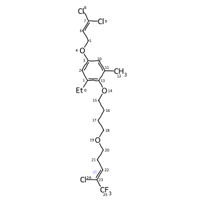 CCc1cc(OCC=C(Cl)Cl)cc(C)c1OCCCCOCC/C=C(\Cl)C(F)(F)F